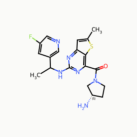 Cc1cc2nc(NC(C)c3cncc(F)c3)nc(C(=O)N3CC[C@H](N)C3)c2s1